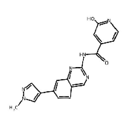 Cn1cc(-c2ccc3cnc(NC(=O)c4ccnc(O)c4)nc3c2)cn1